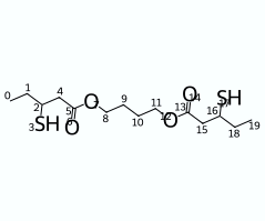 CCC(S)CC(=O)OCCCCOC(=O)CC(S)CC